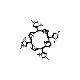 CN1C=C(c2c3nc(c(C4=CN(C)CN4C)c4ccc([nH]4)c(C4=CN(C)CN4C)c4nc(c(C5=CN(C)CN5C)c5ccc2[nH]5)C=C4)C=C3)N(C)C1